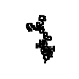 Cc1cc(C)c(S(=O)(=O)N[C@@H](CNC(=O)CO[C@@H]2C[C@@H](CNc3ccccn3)N(C(=O)Cc3cccs3)C2)C(=O)O)c(C)c1